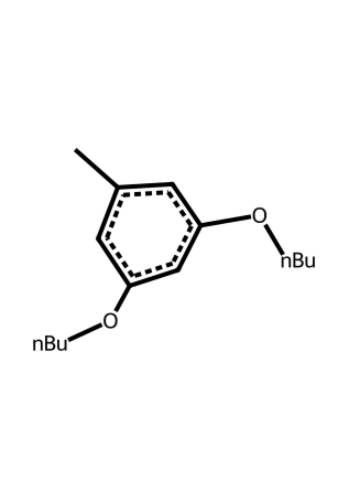 CCCCOc1cc(C)cc(OCCCC)c1